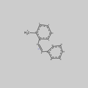 Cc1ccccc1/C=C\c1ccccc1